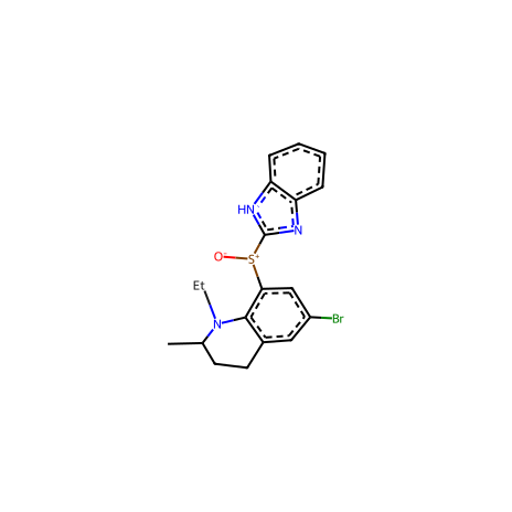 CCN1c2c(cc(Br)cc2[S+]([O-])c2nc3ccccc3[nH]2)CCC1C